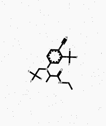 CCNC(=O)C(C)N(CC(F)(F)F)c1ccc(C#N)c(C(F)(F)F)c1